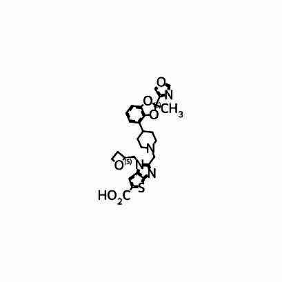 C[C@]1(c2cocn2)Oc2cccc(C3CCN(Cc4nc5sc(C(=O)O)cc5n4C[C@@H]4CCO4)CC3)c2O1